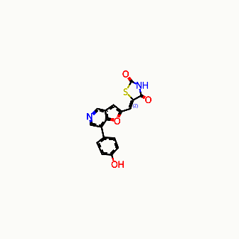 O=C1NC(=O)/C(=C/c2cc3cncc(-c4ccc(O)cc4)c3o2)S1